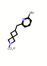 CC(C)(C)c1cccc(CC2CC3(C2)CN(C(=O)O)C3)n1